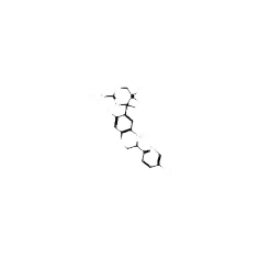 CC1(c2cc3c(cc2F)OCC(c2ccc(Cl)cn2)N3)N=C(N)OCC1(F)F